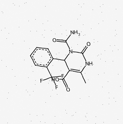 CC1=C(C(=O)O)C(c2ccccc2C(F)(F)F)N(C(N)=O)C(=O)N1